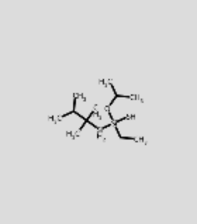 CC[Si](S)(OC(C)C)[SiH2]C(C)(C)C(C)C